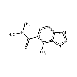 Cc1c(C(=O)N(C)C)ccc2[nH][c]nc12